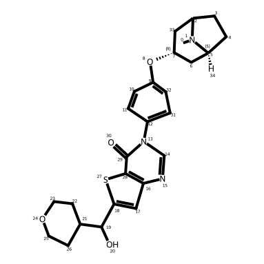 CN1C2CC[C@H]1C[C@H](Oc1ccc(-n3cnc4cc(C(O)C5CCOCC5)sc4c3=O)cc1)C2